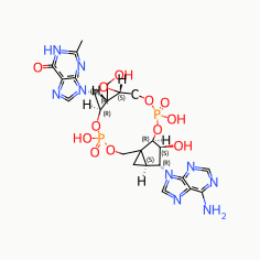 Cc1nc2c(ncn2[C@@H]2O[C@@H]3COP(=O)(O)O[C@H]4[C@@H](O)[C@H](n5cnc6c(N)ncnc65)[C@H]5CC54COP(=O)(O)O[C@@H]2[C@@H]3CO)c(=O)[nH]1